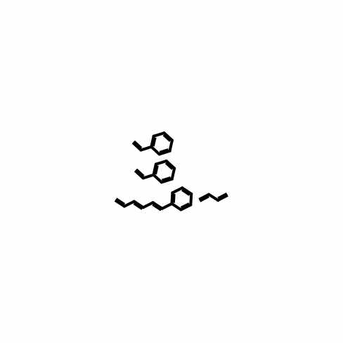 C=CC=C.C=CC=CC=Cc1ccccc1.C=Cc1ccccc1.C=Cc1ccccc1